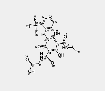 CCNC(=O)c1c(O)c(C(=O)NCC(=O)O)c(=O)n(Cc2ccccc2C(F)(F)F)c1O